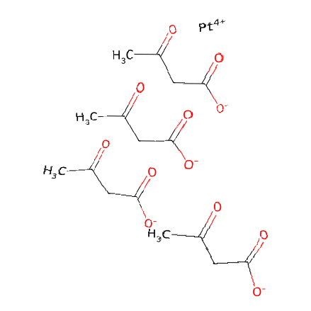 CC(=O)CC(=O)[O-].CC(=O)CC(=O)[O-].CC(=O)CC(=O)[O-].CC(=O)CC(=O)[O-].[Pt+4]